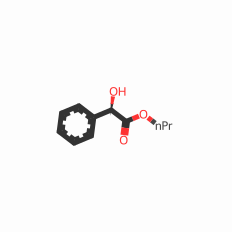 CCCOC(=O)[C@H](O)c1ccccc1